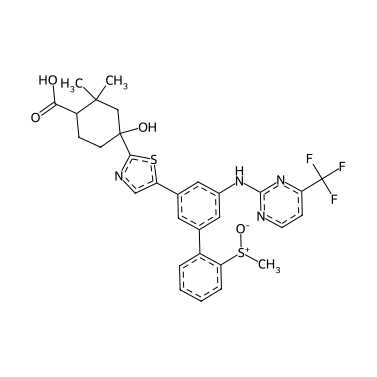 C[S+]([O-])c1ccccc1-c1cc(Nc2nccc(C(F)(F)F)n2)cc(-c2cnc(C3(O)CCC(C(=O)O)C(C)(C)C3)s2)c1